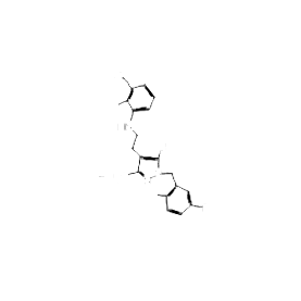 O=C(O)c1nn(Cc2cc(F)ccc2F)c(Cl)c1CCNc1cccc(Cl)c1F